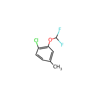 Cc1ccc(Cl)c(OC(F)F)c1